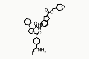 N[C@H](CF)[C@H]1CC[C@H](C(=O)N2CC[C@@H](C3CCCCC3)[C@H]2C(=O)Nc2ccc3c(c2)C=C(C(=O)OCC2CCOCC2)C3)CC1